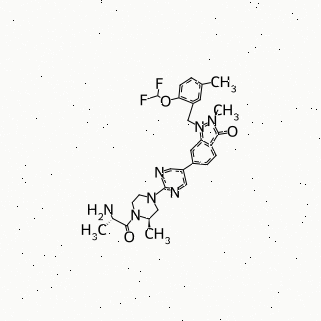 Cc1ccc(OC(F)F)c(Cn2c3cc(-c4cnc(N5CCN(C(=O)[C@H](C)N)[C@H](C)C5)nc4)ccc3c(=O)n2C)c1